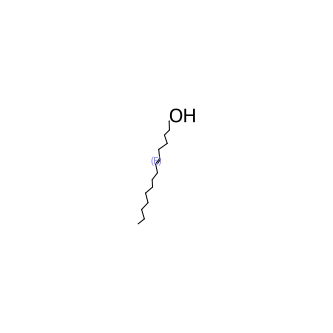 CCCCCCCC/C=C/CCCCCO